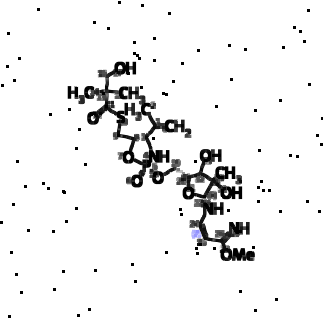 C=C(C)CNP(=O)(OCCSC(=O)C(C)(C)CO)OC[C@H]1O[C@@H](N/C=C\C(=N)OC)C(C)(O)C1O